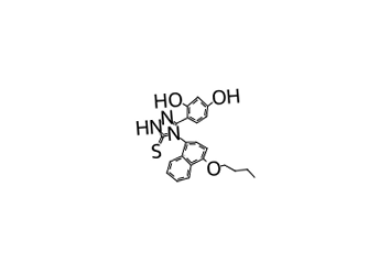 CCCCOc1ccc(-n2c(-c3ccc(O)cc3O)n[nH]c2=S)c2ccccc12